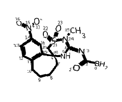 BC(=O)N=C1N[C@@]2(CCCCc3ccc([N+](=O)[O-])cc32)CS(=O)(=O)N1C